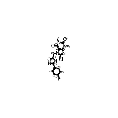 Cn1c(=O)c2c(nc(Cl)n2Cc2nc(-c3ccc(F)cc3)no2)n(C)c1=O